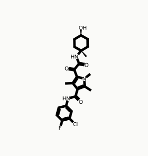 Cc1c(C(=O)Nc2ccc(F)c(Cl)c2)c(C)n(C)c1C(=O)C(=O)N[C@]1(C)CC[C@@H](O)CC1